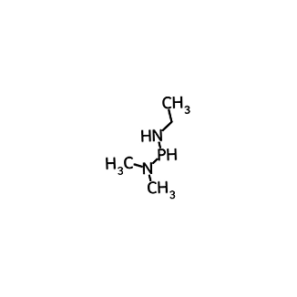 CCNPN(C)C